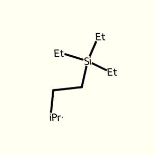 CC[Si](CC)(CC)CC[C](C)C